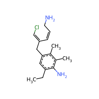 CCc1cc(CC(/C=C\CN)=C/Cl)c(C)c(C)c1N